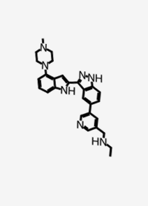 CCNCc1cncc(-c2ccc3[nH]nc(-c4cc5c(N6CCN(C)CC6)cccc5[nH]4)c3c2)c1